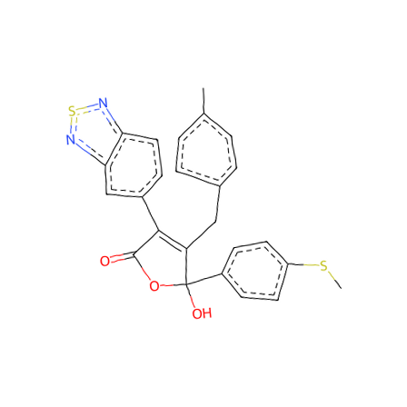 CSc1ccc(C2(O)OC(=O)C(c3ccc4nsnc4c3)=C2Cc2ccc(C)cc2)cc1